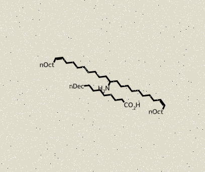 CCCCCCCC/C=C\CCCCCCCCC(N)CCCCCCCC/C=C\CCCCCCCC.CCCCCCCCCCCCCCCCCC(=O)O